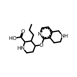 CCCC1C(Oc2nccc3c2CCNC3)CCNC1C(=O)O